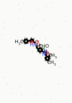 Cc1ccc(-c2ccc(C(=O)NC(Cc3ccc(-c4noc(-c5ccc(C)cc5C)n4)c(F)c3)OC=O)o2)cc1